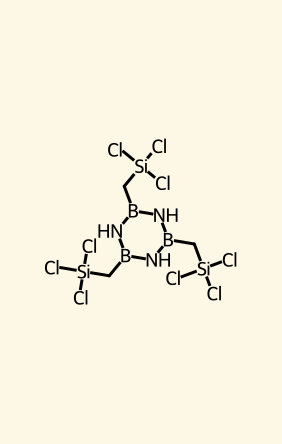 Cl[Si](Cl)(Cl)CB1NB(C[Si](Cl)(Cl)Cl)NB(C[Si](Cl)(Cl)Cl)N1